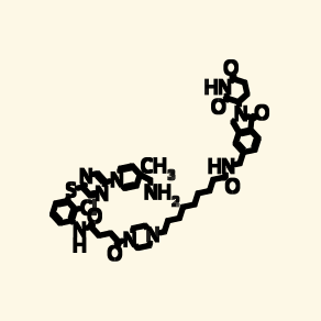 CC1(CN)C=CN(c2cnc(Sc3cccc(NC(=O)CCC(=O)N4CCN(CCCCCCCCC(=O)NCc5ccc6c(c5)CN(C5CCC(=O)NC5=O)C6=O)CC4)c3Cl)cn2)C=C1